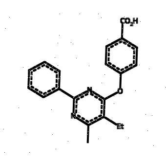 CCc1c(C)nc(-c2ccccc2)nc1Oc1ccc(C(=O)O)cc1